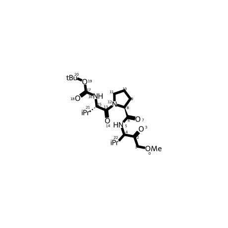 COCC(=O)C(NC(=O)[C@@H]1CCCN1C(=O)[C@@H](NC(=O)OC(C)(C)C)C(C)C)C(C)C